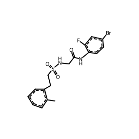 Cc1ccccc1CCS(=O)(=O)NCC(=O)Nc1ccc(Br)cc1F